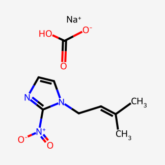 CC(C)=CCn1ccnc1[N+](=O)[O-].O=C([O-])O.[Na+]